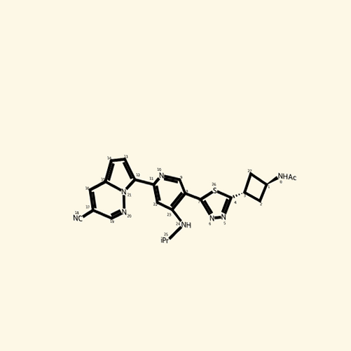 CC(=O)N[C@H]1C[C@H](c2nnc(-c3cnc(-c4ccc5cc(C#N)cnn45)cc3NC(C)C)s2)C1